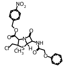 C[C@@]1(CCl)S[C@H]2C(NC(=O)COc3ccccc3)C(=O)N2C1C(=O)OCc1ccc([N+](=O)[O-])cc1